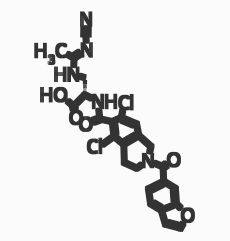 CC(=NC#N)NC[C@H](NC(=O)c1c(Cl)cc2c(c1Cl)CCN(C(=O)c1ccc3ccoc3c1)C2)C(=O)O